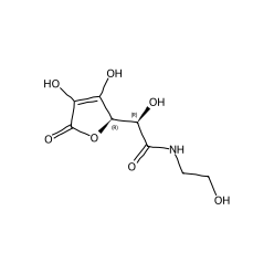 O=C1O[C@H]([C@@H](O)C(=O)NCCO)C(O)=C1O